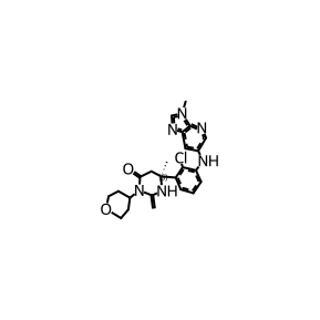 C=C1N[C@](C)(c2cccc(Nc3cnc4c(c3)ncn4C)c2Cl)CC(=O)N1C1CCOCC1